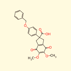 COC1=C(OC)C(=O)C2=C(CC(C(=O)O)(c3ccc(OCc4ccccc4)cc3)C2)C1=O